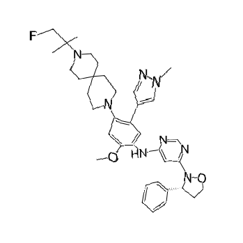 COc1cc(N2CCC3(CC2)CCN(C(C)(C)CF)CC3)c(-c2cnn(C)c2)cc1Nc1cc(N2OCC[C@@H]2c2ccccc2)ncn1